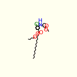 CCCCCCCCCCCCC(COC(=O)c1ccc(Cl)c(NC(=CC(=O)OCC)CC)c1)OCCCC